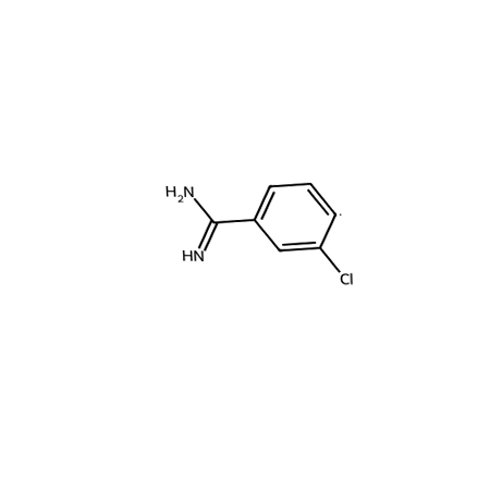 N=C(N)c1cc[c]c(Cl)c1